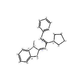 Cn1/c(=N\C(=N\c2ccccc2)N2CCCC2)sc2ccccc21